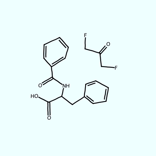 O=C(CF)CF.O=C(NC(Cc1ccccc1)C(=O)O)c1ccccc1